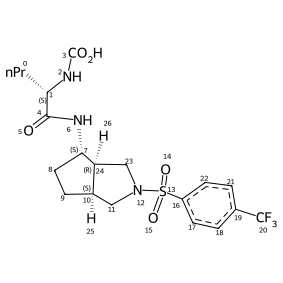 CCC[C@H](NC(=O)O)C(=O)N[C@H]1CC[C@@H]2CN(S(=O)(=O)c3ccc(C(F)(F)F)cc3)C[C@@H]21